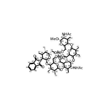 CO[C@H]1OC(COC(C)=O)[C@H](OC2OC(COC(C)=O)C(O[C@H]3OC(COC(C)=O)[C@H](OC4OC(COC(C)=O)C(O[C@@H]5O[C@@H](COC(C)=O)[C@@H](C)C(C)C5N5C(=O)c6ccccc6C5=O)[C@H](C)[C@@H]4C)C(C)[C@H]3NC(C)=O)[C@H](C)[C@@H]2C)C(C)[C@H]1NC(C)=O